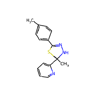 Cc1ccc(C2=NNC(C)(c3ccccn3)S2)cc1